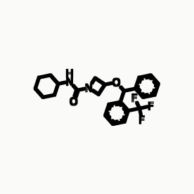 O=C(NC1CCCCC1)N1CC(OC(c2ccccc2)c2ccccc2C(F)(F)F)C1